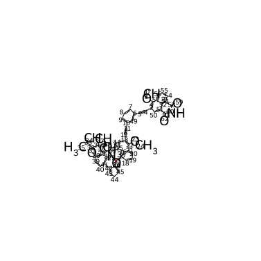 COc1c(C#Cc2cccc(C#Cc3cc4c5c(cccc5c3OC)C(=O)N(c3cc(OC(C(C)C)C(C)C)ccc3C3=CCC=C3)C4=O)c2)cc2c3c(cccc13)C(=O)NC2=O